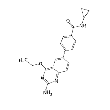 CCOc1nc(N)nc2ccc(-c3ccc(C(=O)NC4CC4)cc3)cc12